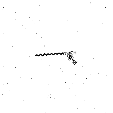 CCCCCCCCCCCCCCCCOC[C@H](CO)OP(=O)([O-])OCC[N+](C)(C)C